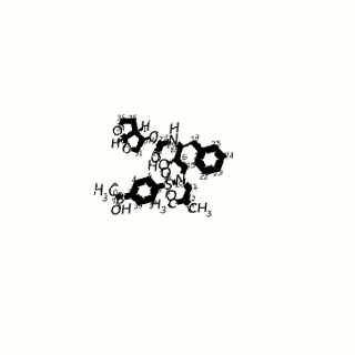 CB(O)c1ccc(S(=O)(=O)N(CC(C)C)C[C@@H](O)[C@H](Cc2ccccc2)NC(=O)O[C@H]2CO[C@H]3OCC[C@H]32)cc1